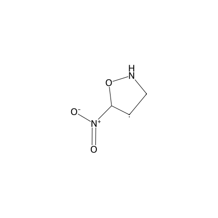 O=[N+]([O-])C1[CH]CNO1